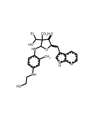 CCC(O)C1(C(=O)O)C(=O)/C(=C/c2c[nH]c3ncccc23)OC1Nc1ccc(NCCO)cc1C